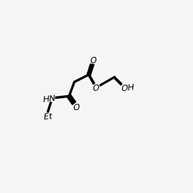 CCNC(=O)CC(=O)OCO